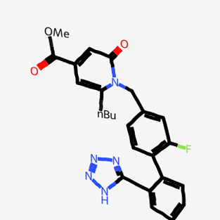 CCCCc1cc(C(=O)OC)cc(=O)n1Cc1ccc(-c2ccccc2-c2nnn[nH]2)c(F)c1